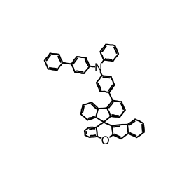 c1ccc(-c2ccc(N(c3ccccc3)c3ccc(-c4cccc5c4-c4ccccc4C54c5ccccc5Oc5cc6ccccc6cc54)cc3)cc2)cc1